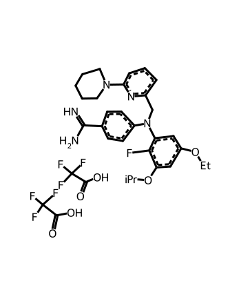 CCOc1cc(OC(C)C)c(F)c(N(Cc2cccc(N3CCCCC3)n2)c2ccc(C(=N)N)cc2)c1.O=C(O)C(F)(F)F.O=C(O)C(F)(F)F